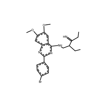 CCC(=N)C(CC)CNc1nc(-c2ccc(Br)cc2)nc2cc(OC)c(OC)cc12